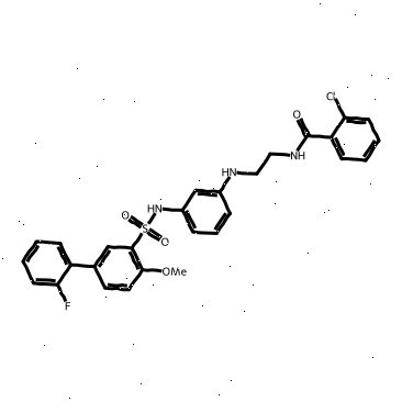 COc1ccc(-c2ccccc2F)cc1S(=O)(=O)Nc1cccc(NCCNC(=O)c2ccccc2Cl)c1